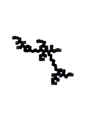 CC(C)(C)OC(=O)/N=C(/N(CCCCCCCN/C(=N\C(=O)OC(C)(C)C)NC(=O)OC(C)(C)C)C(=O)OC(C)(C)C)N(CCOCc1ccc(C(=N)NC(=O)OC(C)(C)C)cc1)C(=O)OC(C)(C)C